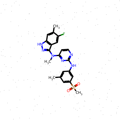 Cc1cc(Nc2nccc(N(C)c3n[nH]c4cc(C)c(F)cc34)n2)cc(S(C)(=O)=O)c1